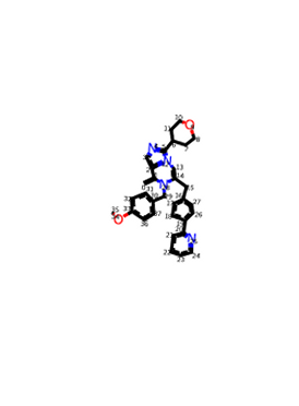 C=C1c2cnc(C3CCOCC3)n2C=C(Cc2ccc(-c3ccccn3)cc2)N1Cc1ccc(OC)cc1